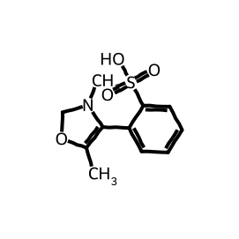 CC1=C(c2ccccc2S(=O)(=O)O)N(C)CO1